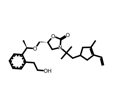 C=CC1=C(C)CC(CC(C)(C)N2C[C@H](CO[C@H](C)c3ccccc3CCO)OC2=O)C1